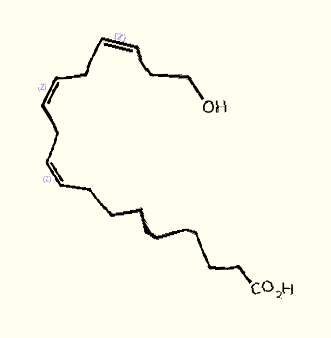 O=C(O)CCCCCCC/C=C\C/C=C\C/C=C\CCO